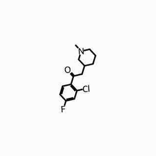 CN1CCCC(CC(=O)c2ccc(F)cc2Cl)C1